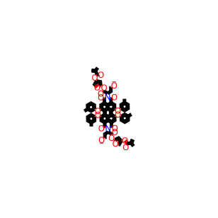 C=C(C)C(=O)Oc1coc(OC(=O)C(CCOC)N2C(=O)c3cc(Oc4cccc(C)c4)c4c5c(Oc6cccc(C)c6)cc6c7c(cc(Oc8cccc(C)c8)c(c8c(Oc9cccc(C)c9)cc(c3c48)C2=O)c75)C(=O)N(C(CCOC)C(=O)Oc2cc(OC(=O)C(=C)C)co2)C6=O)c1